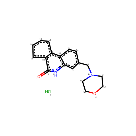 Cl.O=c1[nH]c2cc(CN3CCOCC3)ccc2c2ccccc12